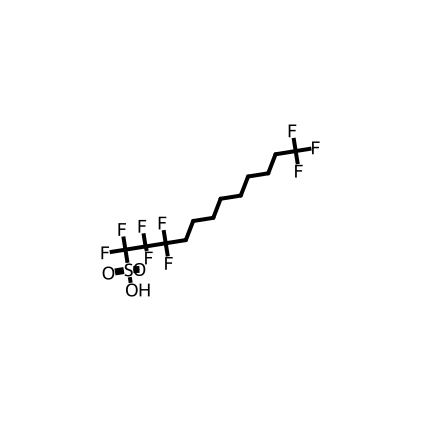 O=S(=O)(O)C(F)(F)C(F)(F)C(F)(F)CCCCCCCCC(F)(F)F